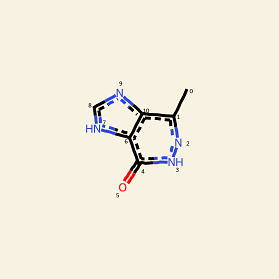 Cc1n[nH]c(=O)c2[nH]cnc12